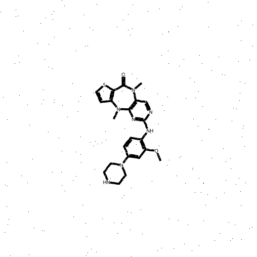 COc1cc(N2CCNCC2)ccc1Nc1ncc2c(n1)N(C)c1ccsc1C(=O)N2C